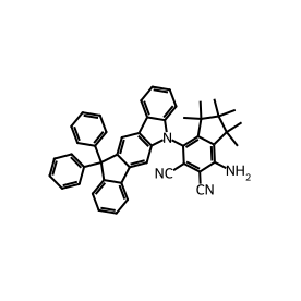 CC1(C)c2c(N)c(C#N)c(C#N)c(-n3c4ccccc4c4cc5c(cc43)-c3ccccc3C5(c3ccccc3)c3ccccc3)c2C(C)(C)C1(C)C